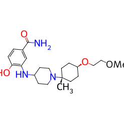 COCCO[C@H]1CC[C@](C)(N2CCC(Nc3cc(C(N)=O)ccc3O)CC2)CC1